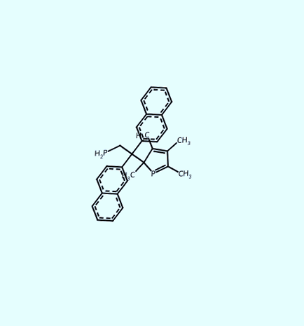 CC1=PC(C)(C(CP)(c2ccc3ccccc3c2)c2ccc3ccccc3c2)C(C)=C1C